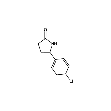 O=C1CCC(C2=CCC(Cl)C=C2)N1